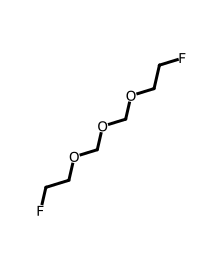 FCCOCOCOCCF